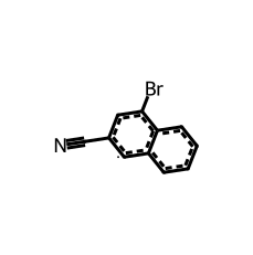 N#Cc1[c]c2ccccc2c(Br)c1